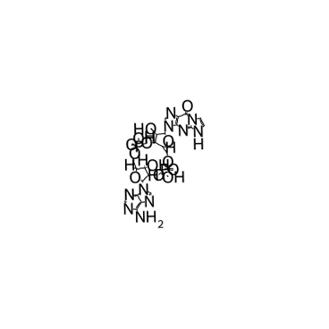 Nc1ncnc2c1ncn2[C@@H]1O[C@@H]2COP(=O)(O)O[C@H]3[C@@H](O)[C@H](n4cnc5c(=O)n6cc[nH]c6nc54)O[C@@H]3COP(=O)(O)O[C@@H]1[C@@H]2O